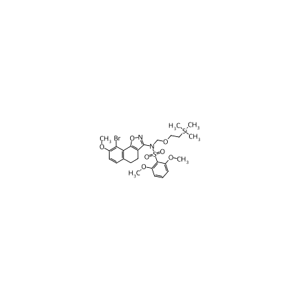 COc1ccc2c(c1Br)-c1onc(N(COCC[Si](C)(C)C)S(=O)(=O)c3c(OC)cccc3OC)c1CC2